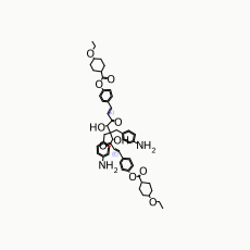 CCOC1CCC(C(=O)Oc2ccc(/C=C/C(=O)C(O)C(Cc3ccc(N)cc3)(Cc3ccc(N)cc3)C(O)C(=O)/C=C/c3ccc(OC(=O)C4CCC(OCC)CC4)cc3)cc2)CC1